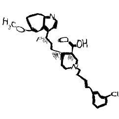 COc1ccc2nccc([C@@H](F)CC[C@@H]3CCN(CCCCc4cccc(Cl)c4)C[C@@H]3C(=O)O)c2c1